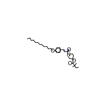 CCCCCCCCCCCCOc1ccc(/C=C/C(=O)N2CCC(OC(=O)C(C)(C)CC)CC2)cc1